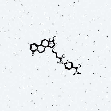 CN(C)C(=O)c1ccc(NC(=O)CCC[C@@H]2CC(=O)[C@@]3(C)CCC4c5cccc(F)c5CCC4C23)nc1